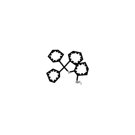 Nc1ccccc1SC(c1ccccc1)(c1ccccc1)c1ccccc1